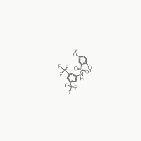 COc1ccc(OC)c(S(=O)(=O)Nc2cc(C(F)(F)F)cc(C(F)(F)F)c2)c1